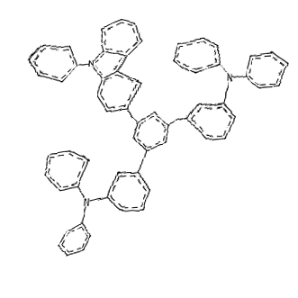 c1ccc(N(c2ccccc2)c2cccc(-c3cc(-c4cccc(N(c5ccccc5)c5ccccc5)c4)cc(-c4ccc5c(c4)c4ccccc4n5-c4ccccc4)c3)c2)cc1